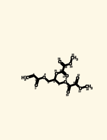 C=CC(=O)OCC(COC(=O)C(=O)OC)OC(=O)C(=O)OC